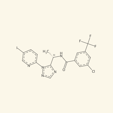 C[C@H](NC(=O)c1cc(Cl)cc(C(F)(F)F)c1)c1ncnn1-c1ccc(I)cn1